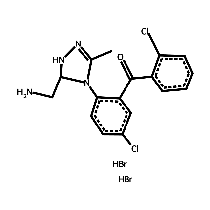 Br.Br.CC1=NNC(CN)N1c1ccc(Cl)cc1C(=O)c1ccccc1Cl